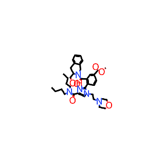 CCCCN(CCCC)C(=O)c1cn(CCN2CCOCC2)c(-c2ccc(C(=O)OC)cc2C(=O)N2Cc3ccccc3CC2CO)n1